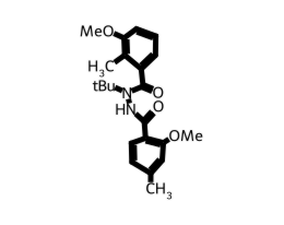 COc1cc(C)ccc1C(=O)NN(C(=O)c1cccc(OC)c1C)C(C)(C)C